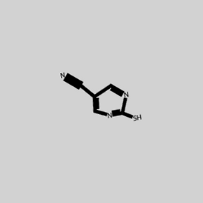 N#Cc1cnc(S)nc1